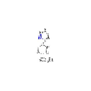 CCOC(=O)C1CCC(c2ccccn2)CC1